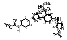 Cc1nc([C@H]2CC[C@H](NC(=O)OC(C)C)CC2)sc1-c1ccc(Nc2cnn(C(F)F)c2)cc1S(=O)(=O)NC(C)(C)C